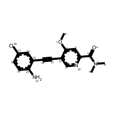 COc1cc(C(=O)N(C)C)ncc1C#Cc1cc(Cl)ccc1N